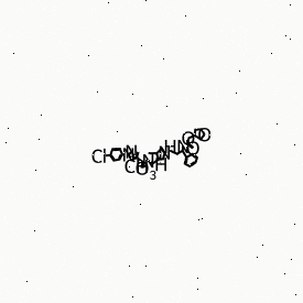 Cc1c(C(=O)N2CC3CN(CCC(NC(=O)OC4CCOC4)c4ccccc4)C[C@H]3C2)cnn1-c1ccc(Cl)cc1